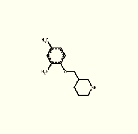 Cc1ccc(OCC2CCCNC2)c(N)c1